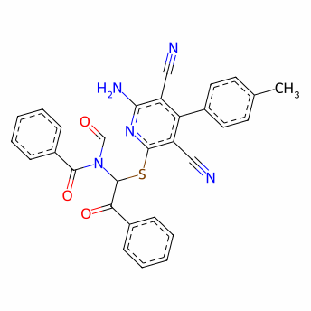 Cc1ccc(-c2c(C#N)c(N)nc(SC(C(=O)c3ccccc3)N(C=O)C(=O)c3ccccc3)c2C#N)cc1